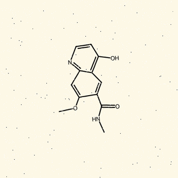 CNC(=O)c1cc2c(O)ccnc2cc1OC